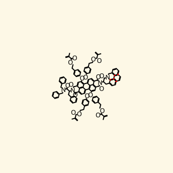 C=C(C)C(=O)OCCc1ccc(Oc2cc3c4c(cc(Oc5ccc(CCOC(=O)C(=C)C)cc5)c5c6c(Oc7ccc(CCOC(=O)C(=C)C)cc7)cc7c8c(cc(Oc9ccc(CCOC(=O)C(=C)C)cc9)c(c2c45)c86)C(=O)N(C(Cc2ccccc2)C(=O)N(Cc2ccccc2)Cc2ccccc2)C7=O)C(=O)N(C(Cc2ccccc2)C(=O)N(Cc2ccccc2)Cc2ccccc2)C3=O)cc1